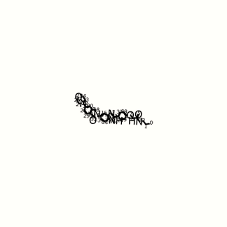 CCCNC(=O)COc1ccc(-c2nc3cc(N4Cc5cc(N6CCOCC6)ccc5C4=O)ccc3[nH]2)cc1